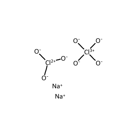 [Na+].[Na+].[O-][Cl+2]([O-])[O-].[O-][Cl+3]([O-])([O-])[O-]